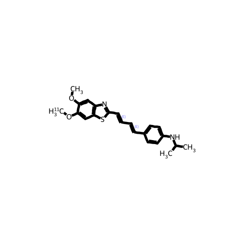 COc1cc2nc(/C=C/C=C/c3ccc(NC(C)C)cc3)sc2cc1O[11CH3]